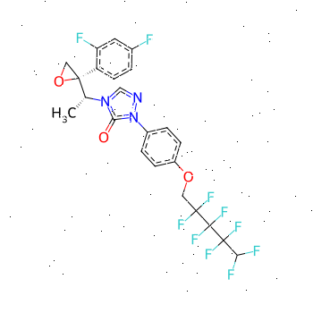 C[C@@H](n1cnn(-c2ccc(OCC(F)(F)C(F)(F)C(F)(F)C(F)F)cc2)c1=O)[C@]1(c2ccc(F)cc2F)CO1